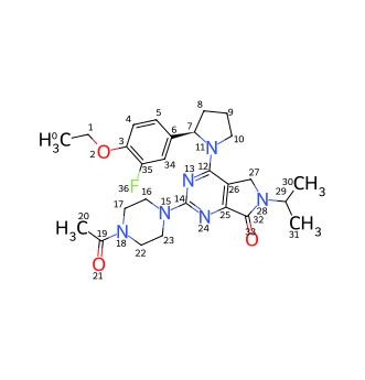 CCOc1ccc([C@H]2CCCN2c2nc(N3CCN(C(C)=O)CC3)nc3c2CN(C(C)C)C3=O)cc1F